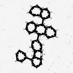 c1ccc(-c2cccc3oc4cc(-c5c6ccccc6c(-c6cccc7ccccc67)c6ccccc56)ccc4c23)cc1